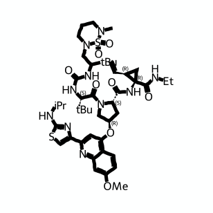 C=C[C@H]1C[C@]1(NC(=O)[C@@H]1C[C@@H](Oc2cc(-c3csc(NC(C)C)n3)nc3cc(OC)ccc23)CN1C(=O)[C@@H](NC(=O)NC(CN1CCCN(C)S1(=O)=O)C(C)(C)C)C(C)(C)C)C(=O)NCC